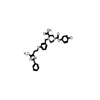 Cc1oc(-c2ccccc2)nc1CCOc1cccc(CN2CCN(C(=O)Oc3ccc(Cl)cc3)CC2C(=O)O)c1